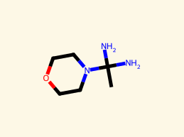 CC(N)(N)N1CCOCC1